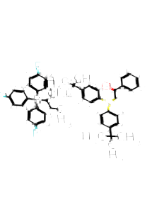 CC(C)(C)c1ccc([S+](CC(=O)c2ccccc2)c2ccc(C(C)(C)C)cc2)cc1.CCC(C)[B-](c1ccc(F)cc1)(c1ccc(F)cc1)c1ccc(F)cc1